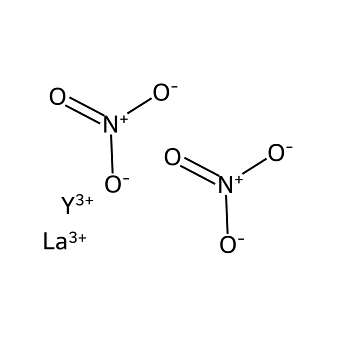 O=[N+]([O-])[O-].O=[N+]([O-])[O-].[La+3].[Y+3]